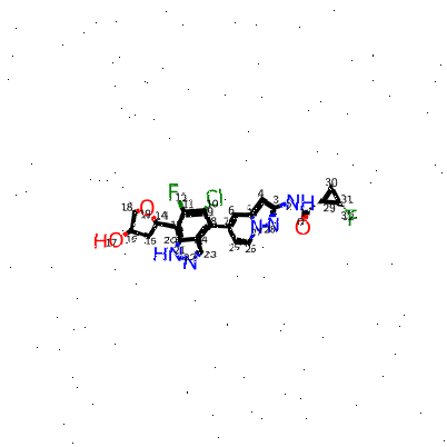 O=C(Nc1cc2cc(-c3c(Cl)c(F)c(C4CC(O)CO4)c4[nH]ncc34)ccn2n1)[C@@H]1C[C@@H]1F